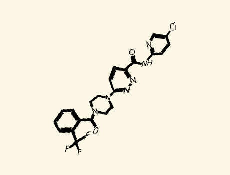 O=C(Nc1ccc(Cl)cn1)c1ccc(N2CCN(C(=O)c3ccccc3C(F)(F)F)CC2)nn1